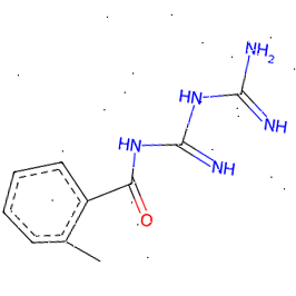 Cc1ccccc1C(=O)NC(=N)NC(=N)N